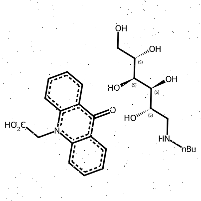 CCCCNC[C@H](O)[C@H](O)[C@@H](O)[C@@H](O)CO.O=C(O)Cn1c2ccccc2c(=O)c2ccccc21